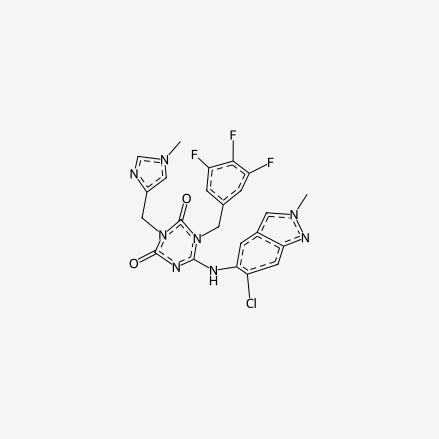 Cn1cnc(Cn2c(=O)nc(Nc3cc4cn(C)nc4cc3Cl)n(Cc3cc(F)c(F)c(F)c3)c2=O)c1